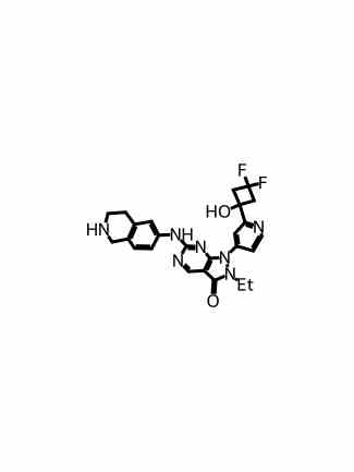 CCn1c(=O)c2cnc(Nc3ccc4c(c3)CCNC4)nc2n1-c1ccnc(C2(O)CC(F)(F)C2)c1